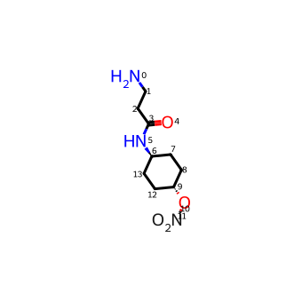 NCCC(=O)N[C@H]1CC[C@H](O[N+](=O)[O-])CC1